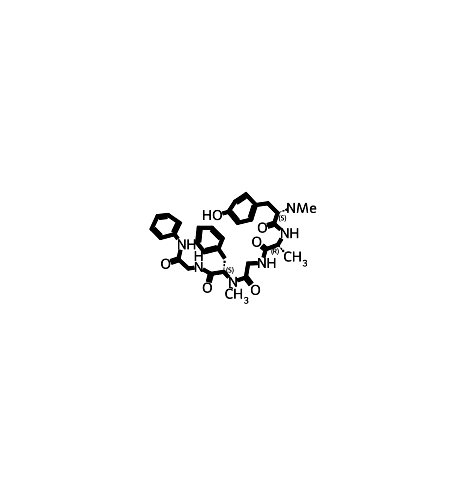 CN[C@@H](Cc1ccc(O)cc1)C(=O)N[C@H](C)C(=O)NCC(=O)N(C)[C@@H](Cc1ccccc1)C(=O)NCC(=O)Nc1ccccc1